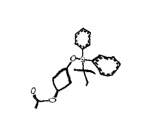 CC(=O)OC1CC(O[Si](c2ccccc2)(c2ccccc2)C(C)(C)C)C1